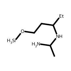 CCC(CCO[SiH3])NC(C)N